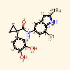 CCc1cc(NC(=O)C2(c3ccc(O)c(O)c3)CC2)cc2cc(C(C)(C)C)[nH]c12